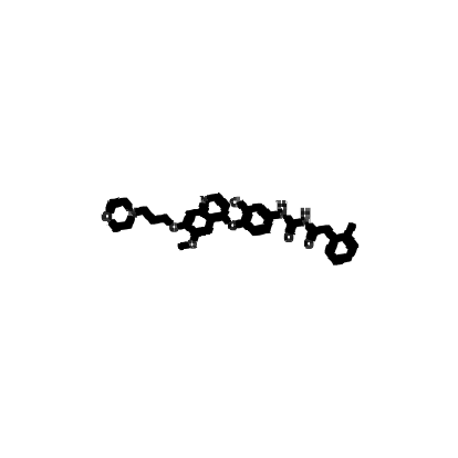 COc1cc2c(Oc3ccc(NC(=O)NC(=O)Cc4ccccc4C)cc3Cl)ccnc2cc1OCCCN1CCOCC1